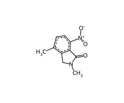 Cc1ccc([N+](=O)[O-])c2c1CN(C)C2=O